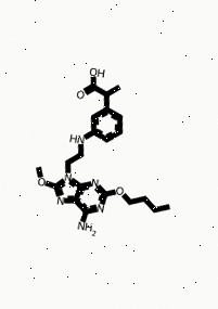 CCCCOc1nc(N)c2nc(OC)n(CCNc3cccc(C(C)C(=O)O)c3)c2n1